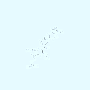 CCOc1cc(N(C)CCN(CC)CC)c(NC)cc1Nc1cc(-c2ccc3c(cnn3CC)c2)ncn1